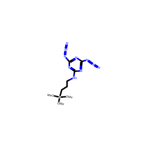 CO[Si](CCCNc1nc(N=[N+]=[N-])nc(N=[N+]=[N-])n1)(OC)OC